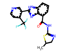 CC1CN=C(NC(=O)c2cccc3[nH]c(-c4cnccc4C(F)(F)F)nc23)S1